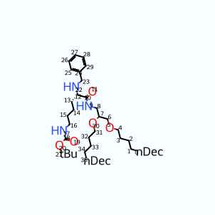 CCCCCCCCCCCCCCOCC(CNC(=O)[C@H](CCCCNC(=O)OC(C)(C)C)NCc1ccccc1)OCCCCCCCCCCCCCC